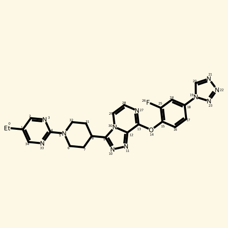 CCc1cnc(N2CCC(c3nnc4c(Oc5ccc(-n6cnnn6)cc5F)nccn34)CC2)nc1